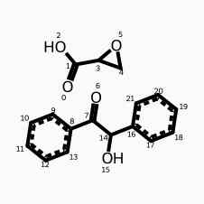 O=C(O)C1CO1.O=C(c1ccccc1)C(O)c1ccccc1